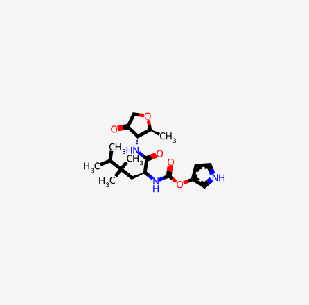 CC(C)C(C)(C)C[C@H](NC(=O)Oc1cc[nH]c1)C(=O)N[C@@H]1C(=O)CO[C@H]1C